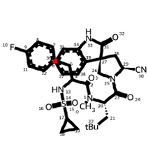 CN(C(=O)C(Cc1ccc(F)cc1)NS(=O)(=O)C1CC1)[C@@H](CC(C)(C)C)C(=O)N1C[C@]2(C[C@H]1C#N)C(=O)Nc1ccccc12